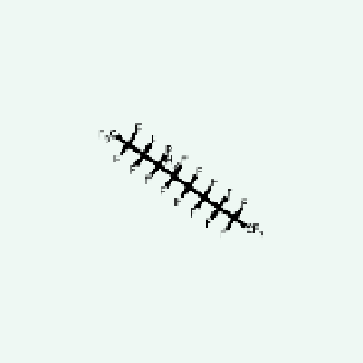 FC(F)(F)C(F)(F)C(F)(F)C(F)(F)C(F)(F)C(F)(F)C(F)(P)C(F)(F)C(F)(F)C(F)(F)F